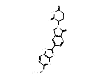 COc1ccc2[nH]c(-c3ccc4c(c3)CN(C3CCC(=O)NC3=O)C4=O)nc2n1